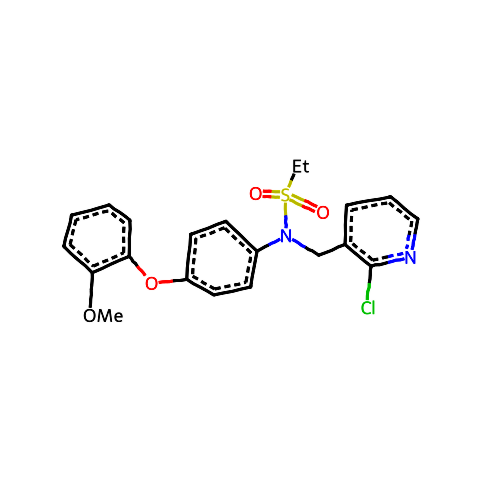 CCS(=O)(=O)N(Cc1cccnc1Cl)c1ccc(Oc2ccccc2OC)cc1